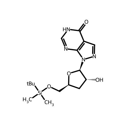 CC(C)(C)[Si](C)(C)OC[C@@H]1C[C@@H](O)[C@H](n2ncc3c(=O)[nH]cnc32)O1